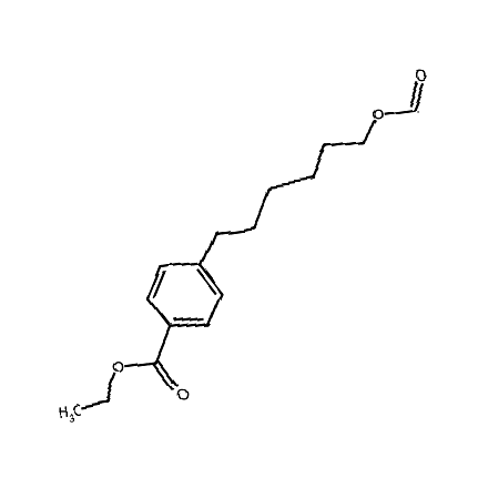 CCOC(=O)c1ccc(CCCCCCO[C]=O)cc1